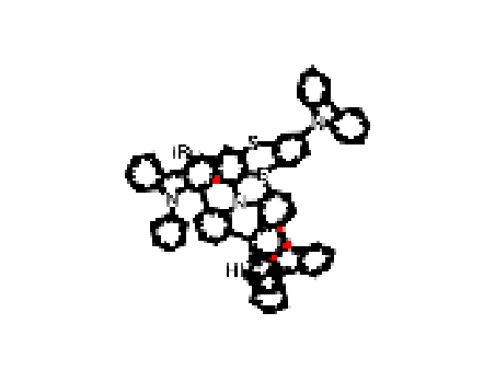 CC(C)(C)c1cc2c3c(c1)N(c1c(-c4cccc5c4[nH]c4ccccc45)cccc1-c1cccc4c5ccccc5n(-c5ccccc5)c14)c1cc(-n4c5ccccc5c5ccccc54)ccc1B3c1ccc(-n3c4ccccc4c4ccccc43)cc1S2